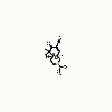 COC(=O)N1CC[C@@H]2C(C)(C)C(=O)C(C#N)=C[C@@]2(C)C1